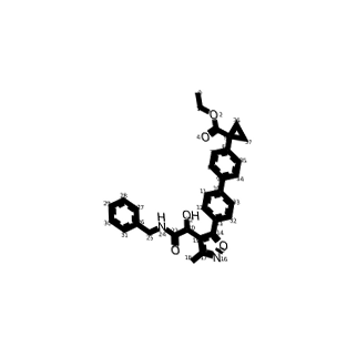 CCOC(=O)C1(c2ccc(-c3ccc(-c4onc(C)c4C(O)C(=O)NCc4ccccc4)cc3)cc2)CC1